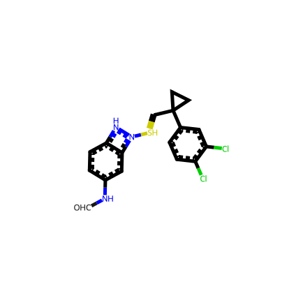 O=CNc1ccc2[nH]n(/[SH]=C/C3(c4ccc(Cl)c(Cl)c4)CC3)c2c1